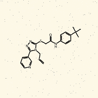 C=CCn1c(SCC(=O)Nc2ccc(C(C)(C)C)cc2)nnc1-c1cccnc1